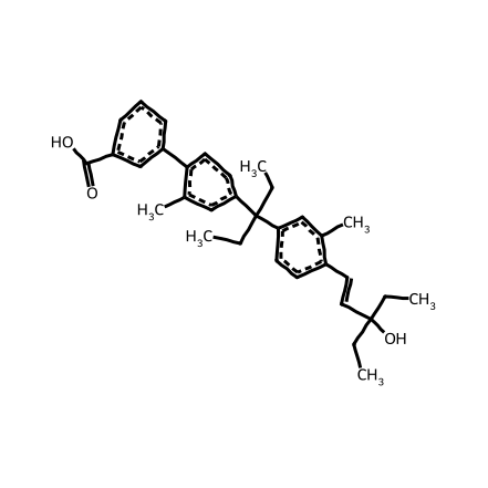 CCC(O)(C=Cc1ccc(C(CC)(CC)c2ccc(-c3cccc(C(=O)O)c3)c(C)c2)cc1C)CC